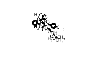 Cc1ccc(C(=O)N(CCCNC(=O)OC(C)(C)C)C(c2nc3snc(C)c3c(=O)n2Cc2ccccc2)C(C)C)cc1